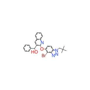 CC(C)(C)Cn1nnc2c(Br)c(Oc3nc4ccccc4cc3C(O)c3ccccc3)ccc21